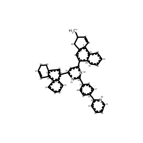 CC1C=Cc2c(cc(-c3cc(-c4cc5c(c6ccccc46)C=CCC5)nc(-c4ccc(-c5ccccn5)cc4)n3)c3ccccc23)C1